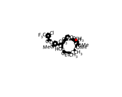 CCC1/C=C(\C)CC(C)CC(OC)C2OC(O)(C(=O)C(=O)N3CCCCC3C(=O)OC(C(C)=CC3CCC(OCC(=O)c4cc(Cl)cc(C(F)(F)F)c4)C(OC)C3)C(C)C(O)CC1=O)C(C)CC2OC